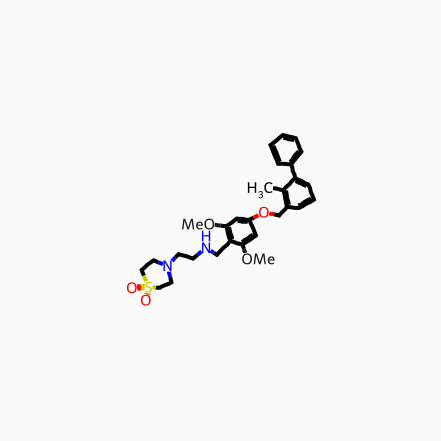 COc1cc(OCc2cccc(-c3ccccc3)c2C)cc(OC)c1CNCCN1CCS(=O)(=O)CC1